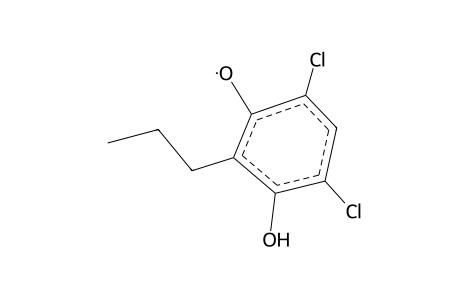 CCCc1c([O])c(Cl)cc(Cl)c1O